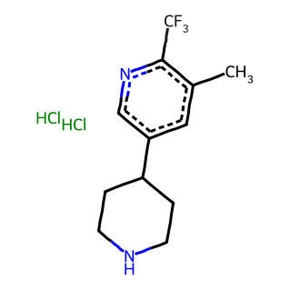 Cc1cc(C2CCNCC2)cnc1C(F)(F)F.Cl.Cl